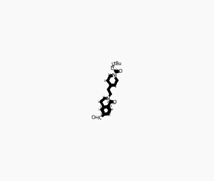 CC(C)(C)OC(=O)N1CCC(CCN2CCc3cc(C=O)ccc3C2=O)CC1